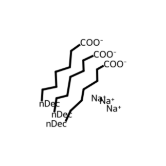 CCCCCCCCCCCCCCCC(=O)[O-].CCCCCCCCCCCCCCCC(=O)[O-].CCCCCCCCCCCCCCCC(=O)[O-].[Na+].[Na+].[Na+]